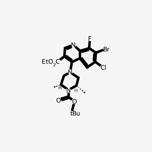 CCOC(=O)c1cnc2c(F)c(Br)c(Cl)cc2c1N1C[C@@H](C)N(C(=O)OC(C)(C)C)[C@@H](C)C1